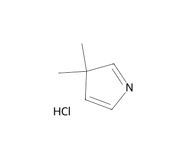 CC1(C)C=CN=C1.Cl